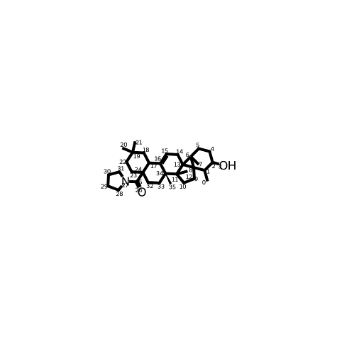 CC1C(O)CCC2(C)C13CCC1(C)C23CC=C2C3CC(C)(C)CCC3(C(=O)N3CCCC3)CC[C@]21C